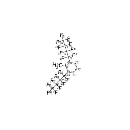 [CH2]c1c(C(F)(F)C(F)(F)C(F)(F)C(F)(F)F)cccc1C(F)(F)C(F)(F)C(F)(F)C(F)(F)F